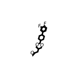 Fc1ccc(C2CCC(C3OCC(CC4CO4)CO3)CC2)cc1F